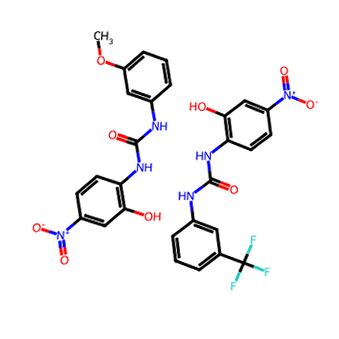 COc1cccc(NC(=O)Nc2ccc([N+](=O)[O-])cc2O)c1.O=C(Nc1cccc(C(F)(F)F)c1)Nc1ccc([N+](=O)[O-])cc1O